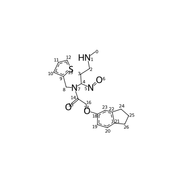 CNCCC(N=O)N(Cc1cccs1)C(=O)COc1ccc2c(c1)CCC2